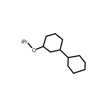 CC(C)OC1CCCC(C2CCCCC2)C1